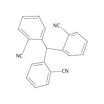 N#Cc1ccccc1C(c1ccccc1C#N)c1ccccc1C#N